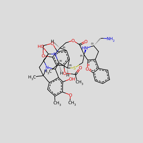 COc1c(C)cc2c(c1O)C1[C@@H]3[C@@H]4SC[C@]5(N[C@H](CN)Cc6c5oc5ccccc65)C(=O)OC[C@@H](c5c6c(c(C)c(OC(C)=O)c54)OCO6)N3C3(O)CN1C2(C)C3